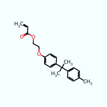 C=CC(=O)OCCOc1ccc(C(C)(C)c2ccc(C)cc2)cc1